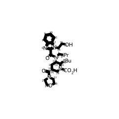 CC(C)CN(C(=O)c1nc2ccccc2n1CCO)[C@H]1C[C@@H](C(=O)N2CCOCC2)CN(C(=O)O)C1C(C)(C)C